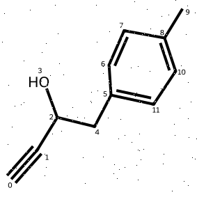 C#CC(O)Cc1ccc(C)cc1